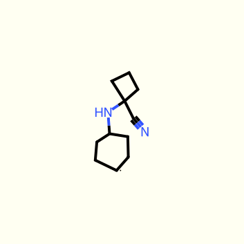 N#CC1(NC2CC[CH]CC2)CCC1